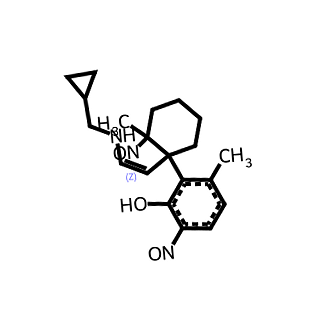 Cc1ccc(N=O)c(O)c1C1(/C=C\NCC2CC2)CCCCC1(C)N=O